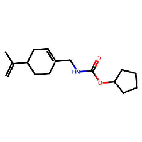 C=C(C)C1CC=C(CNC(=O)OC2CCCC2)CC1